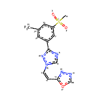 CS(=O)(=O)c1cc(-c2ncn(/C=C\c3nnco3)n2)cc(C(F)(F)F)c1